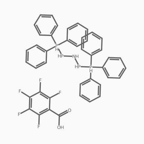 O=C(O)c1c(F)c(F)c(F)c(F)c1F.c1ccc([PH](PNP[PH](c2ccccc2)(c2ccccc2)c2ccccc2)(c2ccccc2)c2ccccc2)cc1